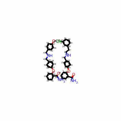 NC(=O)c1ccccc1Oc1ccc(CNCCc2cccc(Cl)c2)cc1.NC(=O)c1ccccc1Oc1ccc(CNCc2ccc(OC(F)(F)F)cc2)cc1